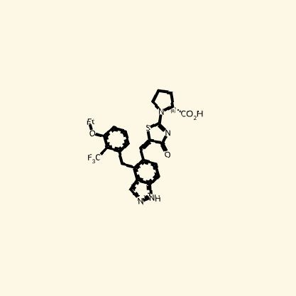 CCOc1cccc(Cc2c(C=C3SC(N4CCC[C@@H]4C(=O)O)=NC3=O)ccc3[nH]ncc23)c1C(F)(F)F